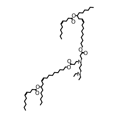 CCCCC/C=C\CCC(=O)OC(C/C=C\CCCCCCCCOC(=O)CCN(CCCN(CC)CC)CCC(=O)OCCCCCCCC/C=C\CC(CCCCCC)OC(=O)CC/C=C\CCCCC)CCCCCC